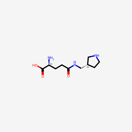 N[C@@H](CCC(=O)NC[C@H]1CCNC1)C(=O)O